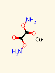 NOC(=O)C(=O)ON.[Cu]